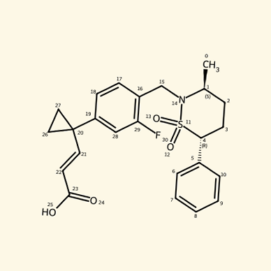 C[C@H]1CC[C@H](c2ccccc2)S(=O)(=O)N1Cc1ccc(C2(C=CC(=O)O)CC2)cc1F